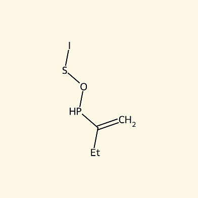 C=C(CC)POSI